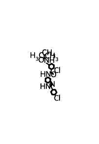 CC(C)(C)C(=O)NCc1ccc(Cl)c(C(=O)Nc2ccc3[nH]c(-c4ccc(Cl)cc4)nc3c2)c1